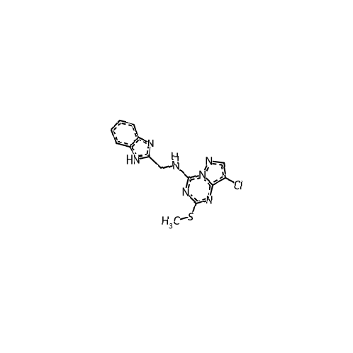 CSc1nc(NCc2nc3ccccc3[nH]2)n2ncc(Cl)c2n1